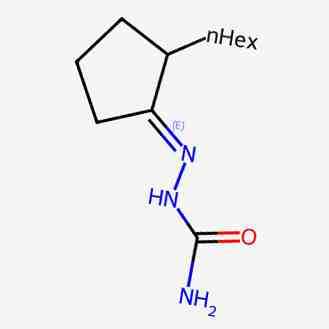 CCCCCCC1CCC/C1=N\NC(N)=O